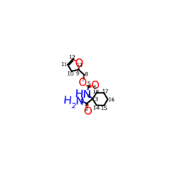 NC(=O)C1(NC(=O)OCC2CC=CO2)CCCCC1